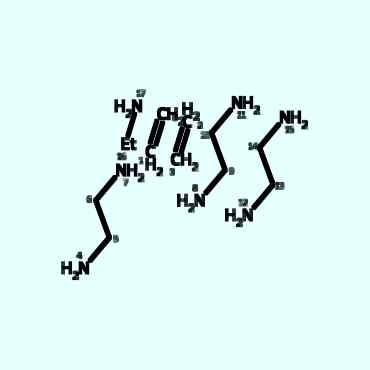 C=C.C=C.NCCN.NCCN.NCCN.[CH2]CN